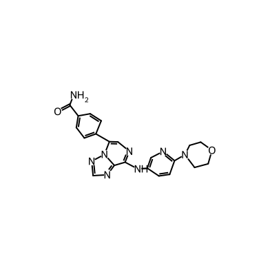 NC(=O)c1ccc(-c2cnc(Nc3ccc(N4CCOCC4)nc3)c3ncnn23)cc1